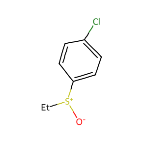 [CH2]C[S+]([O-])c1ccc(Cl)cc1